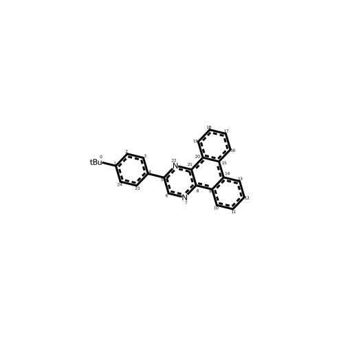 CC(C)(C)c1ccc(-c2cnc3c4ccccc4c4ccccc4c3n2)cc1